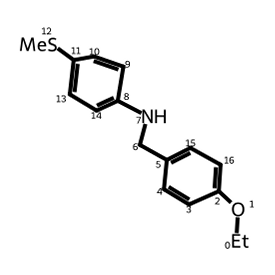 CCOc1ccc(CNc2ccc(SC)cc2)cc1